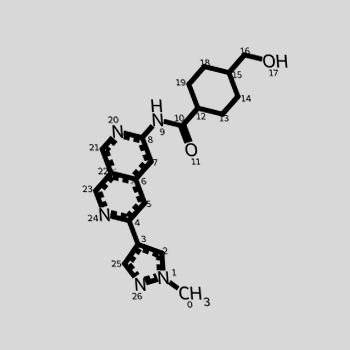 Cn1cc(-c2cc3cc(NC(=O)C4CCC(CO)CC4)ncc3cn2)cn1